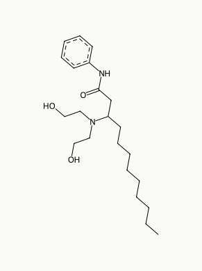 CCCCCCCCCC(CC(=O)Nc1ccccc1)N(CCO)CCO